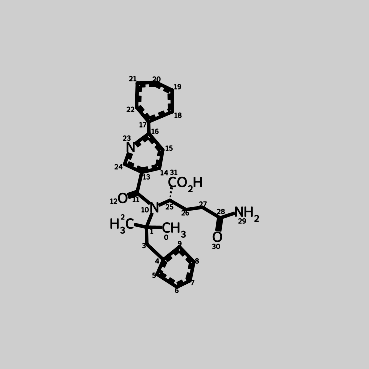 CC(C)(Cc1ccccc1)N(C(=O)c1ccc(-c2ccccc2)nc1)[C@@H](CCC(N)=O)C(=O)O